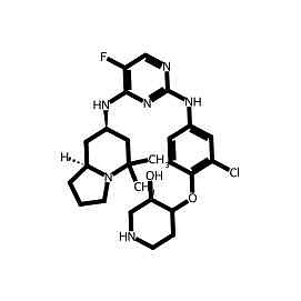 CC1(C)C[C@H](Nc2nc(Nc3ccc(OC4CCNCC4O)c(Cl)c3)ncc2F)C[C@@H]2CCCN21